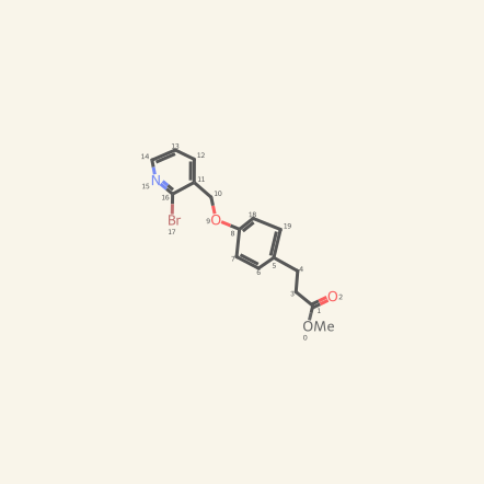 COC(=O)CCc1ccc(OCc2cccnc2Br)cc1